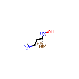 Br.Br.NCCCNO